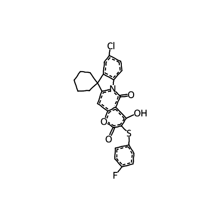 O=c1oc2cc3n(c(=O)c2c(O)c1Sc1ccc(F)cc1)-c1ccc(Cl)cc1C31CCCCC1